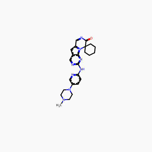 CN1CCN(c2ccc(Nc3ncc4cc5n(c4n3)C3(CCCCC3)C(=O)N=C5)nc2)CC1